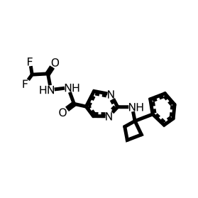 O=C(NNC(=O)C(F)F)c1cnc(NC2(c3ccccc3)CCC2)nc1